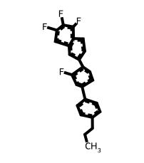 CCCc1ccc(-c2ccc(-c3ccc4c(F)c(F)c(F)cc4c3)c(F)c2)cc1